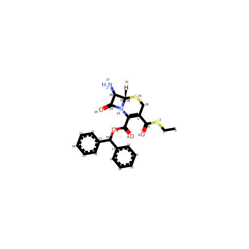 CCSC(=O)C1=C(C(=O)OC(c2ccccc2)c2ccccc2)N2C(=O)C(N)[C@@H]2SC1